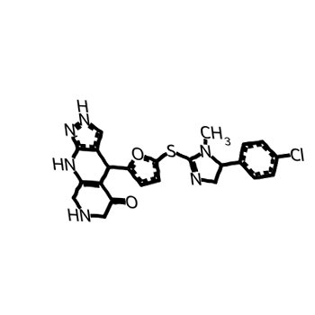 CN1C(Sc2ccc(C3C4=C(CNCC4=O)Nc4n[nH]cc43)o2)=NCC1c1ccc(Cl)cc1